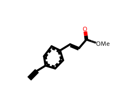 C#Cc1ccc(C=CC(=O)OC)cc1